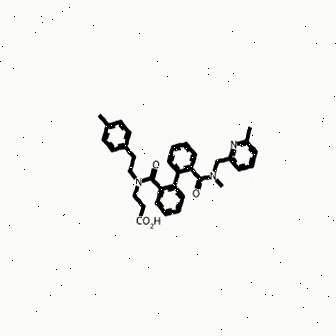 Cc1ccc(CCN(CCC(=O)O)C(=O)c2ccccc2-c2ccccc2C(=O)N(C)Cc2cccc(C)n2)cc1